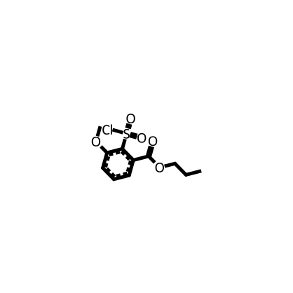 CCCOC(=O)c1cccc(OC)c1S(=O)(=O)Cl